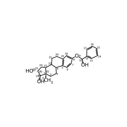 C[C@]12CCC3c4ccc(OC(O)c5ccccc5)cc4CCC3C1C[C@@H](O)[C@@H]2O